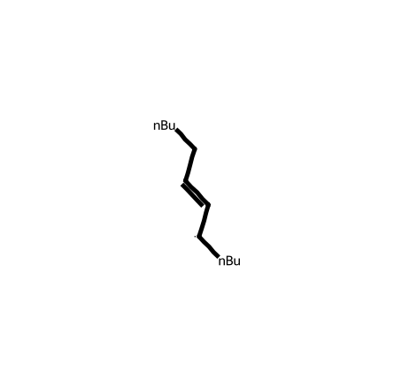 CCCC[CH]C=CCCCCC